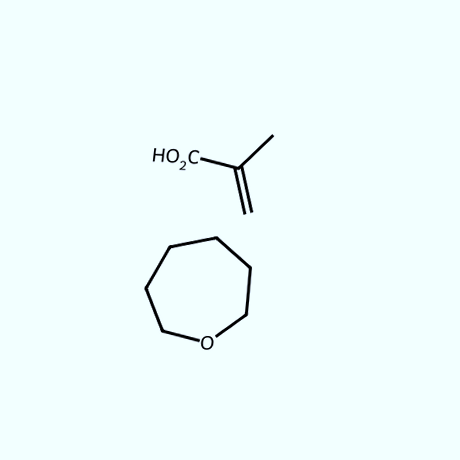 C1CCCOCC1.C=C(C)C(=O)O